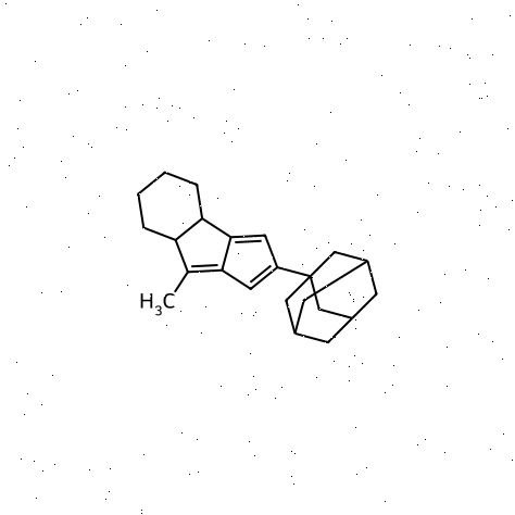 CC1=C2C=C(C34CC5CC(CC(C5)C3)C4)C=C2C2CCCCC12